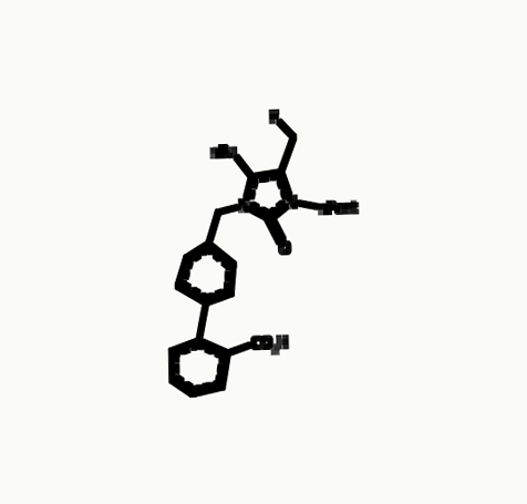 CCCCCn1c(CF)c(CCCC)n(Cc2ccc(-c3ccccc3C(=O)O)cc2)c1=O